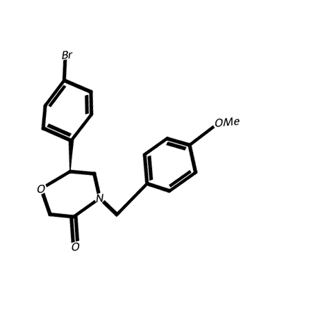 COc1ccc(CN2C[C@H](c3ccc(Br)cc3)OCC2=O)cc1